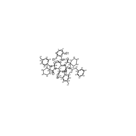 CCc1cccc(CC)c1NC(=O)C(C(C(=O)Nc1c(C)cc(C)cc1Br)N1C(=O)N(c2ccc(C)cc2)C2(CCCCC2)C1=O)N1C(=O)N(CCc2ccccc2)C2(CCCCC2)C1=O